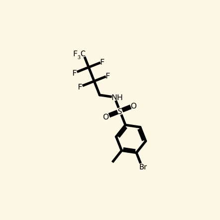 Cc1cc(S(=O)(=O)NCC(F)(F)C(F)(F)C(F)(F)F)ccc1Br